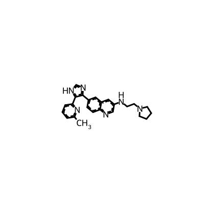 Cc1cccc(-c2[nH]cnc2-c2ccc3ncc(NCCN4CCCC4)cc3c2)n1